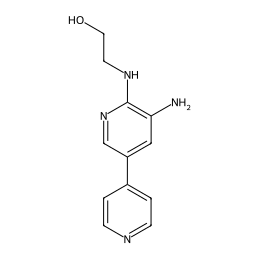 Nc1cc(-c2ccncc2)cnc1NCCO